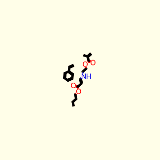 C=C(C)C(=O)OCCNC=CC(=O)OCCCC.C=Cc1ccccc1